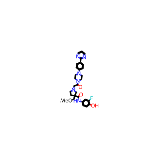 COCC1(C(=O)Nc2ccc(O)c(F)c2)CCN(CC(=O)N2CCN(c3ccc(-c4ncccn4)cc3)CC2)C1